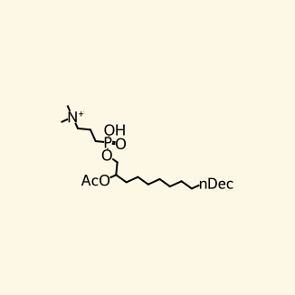 CCCCCCCCCCCCCCCCCC(COP(=O)(O)CCC[N+](C)(C)C)OC(C)=O